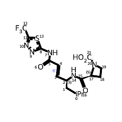 CC(C)C[C@@H](/C=C/C(=O)Nc1nnc(C(F)(F)F)s1)NC(=O)[C@@H]1CCN1C(=O)O